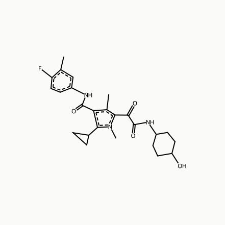 Cc1cc(NC(=O)c2c(C)c(C(=O)C(=O)NC3CCC(O)CC3)n(C)c2C2CC2)ccc1F